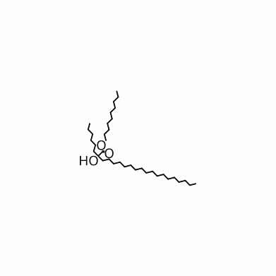 CCCCCCCCCCCCCCCCCCC(O)(CCCCCC)C(=O)OCCCCCCCCCC